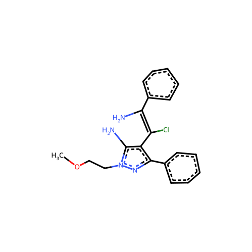 COCCn1nc(-c2ccccc2)c(/C(Cl)=C(\N)c2ccccc2)c1N